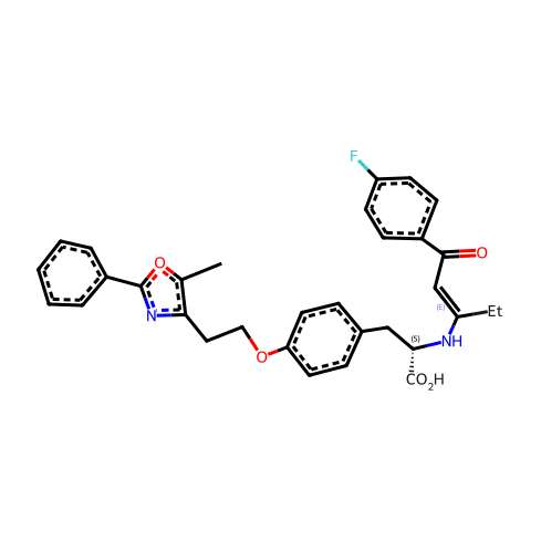 CC/C(=C\C(=O)c1ccc(F)cc1)N[C@@H](Cc1ccc(OCCc2nc(-c3ccccc3)oc2C)cc1)C(=O)O